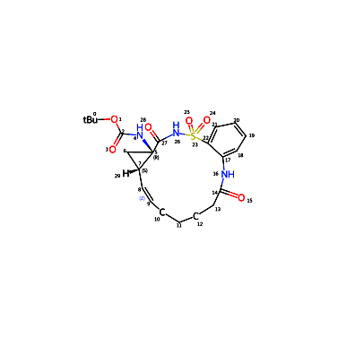 CC(C)(C)OC(=O)N[C@]12C[C@H]1/C=C\CCCCC(=O)Nc1ccccc1S(=O)(=O)NC2=O